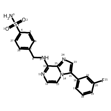 NS(=O)(=O)c1ccc(CNc2nccn3c(-c4cccc(F)c4)cnc23)cc1